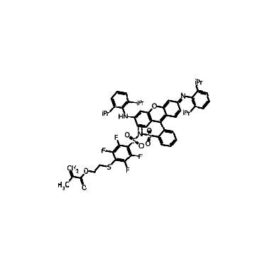 C=C(C)C(=O)OCCSc1c(F)c(F)c(S(=O)(=O)NS(=O)(=O)c2ccccc2-c2c3cc/c(=N\c4c(C(C)C)cccc4C(C)C)cc-3oc3cc(Nc4c(C(C)C)cccc4C(C)C)ccc23)c(F)c1F